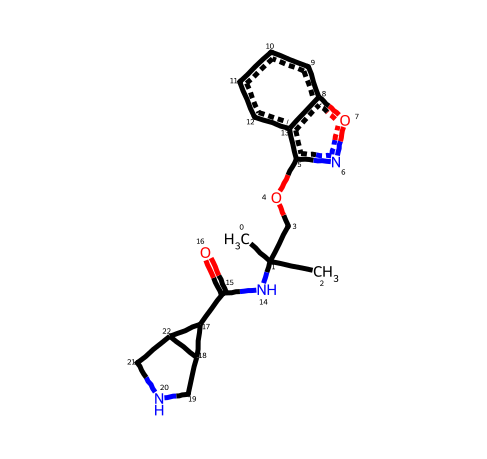 CC(C)(COc1noc2ccccc12)NC(=O)C1C2CNCC21